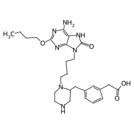 CCCCOc1nc(N)c2[nH]c(=O)n(CCCCN3CCNCC3Cc3cccc(CC(=O)O)c3)c2n1